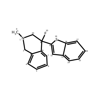 CN1Cc2ccccc2C(F)(c2cc3ccccc3s2)C1